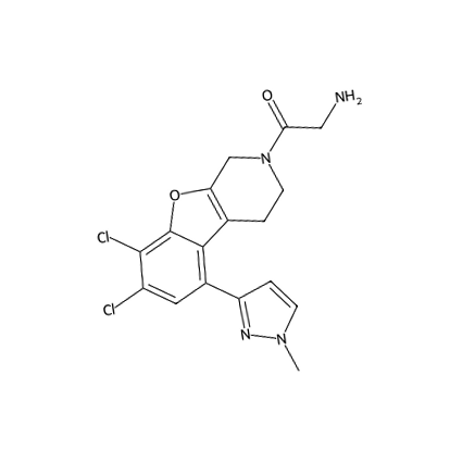 Cn1ccc(-c2cc(Cl)c(Cl)c3oc4c(c23)CCN(C(=O)CN)C4)n1